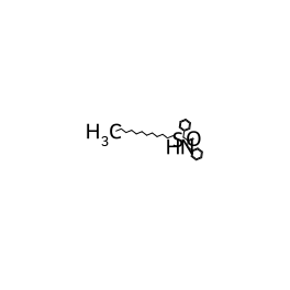 CCCCCCCCCCCCSC(C(=O)Nc1ccccc1)c1ccccc1